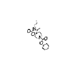 C=C1N(CCC)C(=O)OC12CCN(C(=O)Oc1ccccc1)CC2